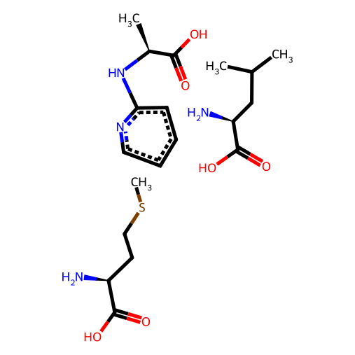 CC(C)C[C@H](N)C(=O)O.CSCC[C@H](N)C(=O)O.C[C@H](Nc1ccccn1)C(=O)O